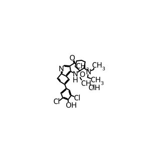 CCOC1(Nc2c(C(C)=O)cnc3ccc(-c4cc(Cl)c(O)c(Cl)c4)cc23)CCCCC1N(CC)CC.Cl